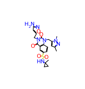 Cc1cc(Cn2c(=O)n(Cc3cc(N)no3)c(=O)c3cc(S(=O)(=O)NC4(C)CC4)ccc32)n(C)n1